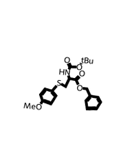 COc1ccc(SCC(NC(=O)OC(C)(C)C)C(=O)OCc2ccccc2)cc1